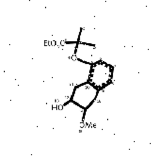 CCOC(=O)C(C)(C)Oc1cccc2c1CC(O)C(OC)C2